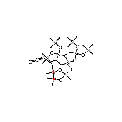 C[Si](C)(C)O[Si](C)(O[Si](C)(C)C)O[Si](CCCN=C=O)(O[Si](C)(O[Si](C)(C)C)O[Si](C)(C)C)O[Si](C)(O[Si](C)(C)C)O[Si](C)(C)C